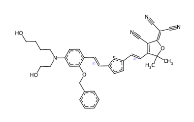 CC1(C)OC(=C(C#N)C#N)C(C#N)=C1/C=C/c1ccc(/C=C/c2ccc(N(CCO)CCCCO)cc2OCc2ccccc2)s1